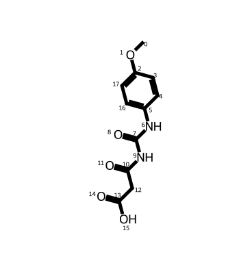 COc1ccc(NC(=O)NC(=O)CC(=O)O)cc1